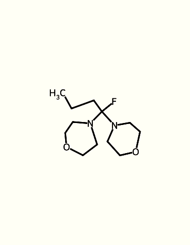 CCCC(F)(N1CCOCC1)N1CCOCC1